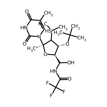 Cc1cn([C@]2(C)O[C@H](C(O)NC(=O)C(F)(F)F)[C@@H](OC(C)(C)C)C2[SiH](C)C)c(=O)[nH]c1=O